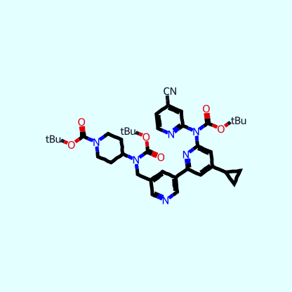 CC(C)(C)OC(=O)N1CCC(N(Cc2cncc(-c3cc(C4CC4)cc(N(C(=O)OC(C)(C)C)c4cc(C#N)ccn4)n3)c2)C(=O)OC(C)(C)C)CC1